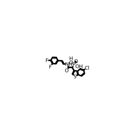 O=C(N/C=C/c1ccc(F)c(F)c1)C(c1csc2ccc(Cl)cc12)P(=O)(O)O